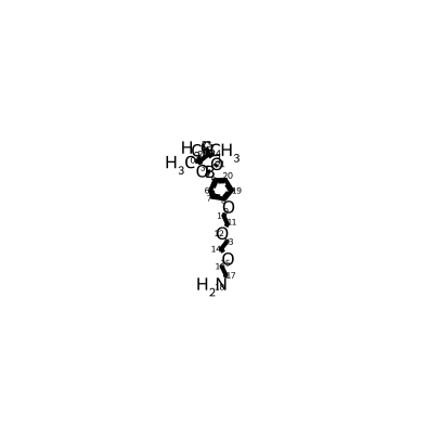 CC1(C)OB(c2ccc(OCCOCCOCCN)cc2)OC1(C)C